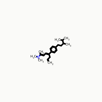 C=CC/C(=C\C=C(/C)N(C)C)c1ccc(CCC(C)C(C)C)cc1